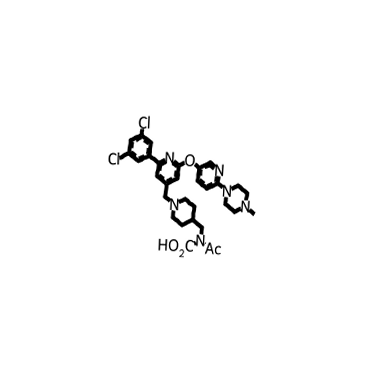 CC(=O)N(CC1CCN(Cc2cc(Oc3ccc(N4CCN(C)CC4)nc3)nc(-c3cc(Cl)cc(Cl)c3)c2)CC1)C(=O)O